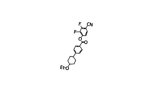 CCOC1CCC(c2ccc(C(=O)Oc3ccc(C#N)c(F)c3F)cc2)CC1